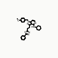 COc1ccc(Cn2nc(CCc3nnc(-c4ccccc4)o3)c3c(NC4CCCCC4)nccc32)cc1